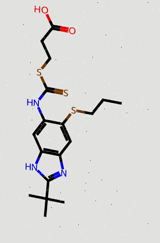 CCCSc1cc2nc(C(C)(C)C)[nH]c2cc1NC(=S)SCCC(=O)O